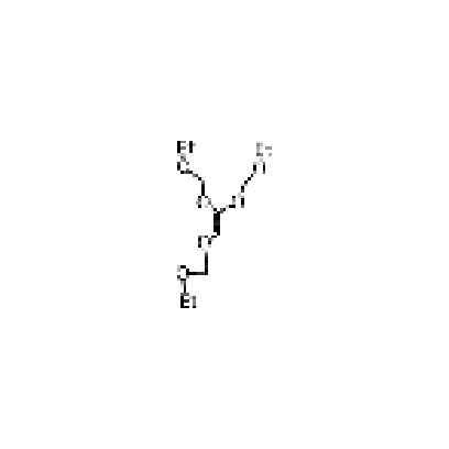 CCOCOC=C(OCOCC)OCOCC